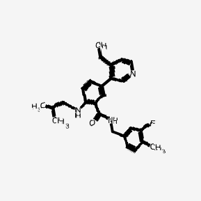 Cc1ccc(CNC(=O)c2cc(-c3cnccc3CO)ccc2NCC(C)C)cc1F